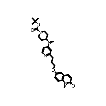 CN(c1ccnc(CCCOc2ccc3c(ccc(=O)n3C)c2)c1)C1CCN(C(=O)OC(C)(C)C)CC1